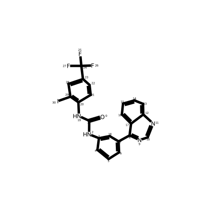 O=C(Nc1cccc(-c2ncnc3ccccc23)c1)Nc1ccc(C(F)(F)F)cc1I